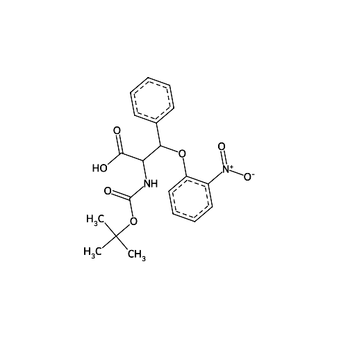 CC(C)(C)OC(=O)NC(C(=O)O)C(Oc1ccccc1[N+](=O)[O-])c1ccccc1